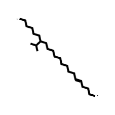 [CH2]CCCC=CCCCCCCCCCC(CCCCC[CH2])C(C)C